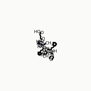 CC(C)CC(NC(=O)C(CCc1ccccc1)NC(=O)CN1CCOCC1)C(=O)NC(Cc1ccccc1)C(=O)NC(CC(C)C)/C(=N/NC(=O)CCCC(=O)O)[C@@]1(C)CO1